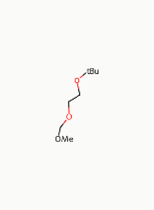 COCOCCOC(C)(C)C